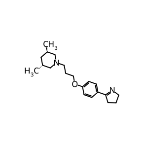 C[C@@H]1C[C@@H](C)CN(CCCOc2ccc(C3=NCCC3)cc2)C1